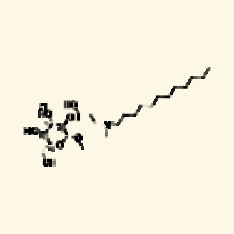 CCCCCCCCCCCC[N+](C)(C)CCCO.COC1O[C@H](CO)[C@@H](O)[C@H](O)[C@H]1O.[Cl-]